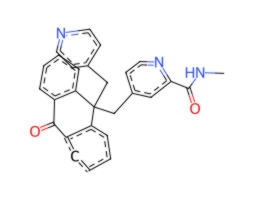 CNC(=O)c1cc(CC2(Cc3ccncc3)c3ccccc3C(=O)c3ccccc32)ccn1